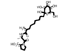 C[C@H](NC(=O)[C@@H](N)CCCCCCCC1(O)O[C@H](CO)[C@H](O)[C@H](O)[C@H]1O)C(=O)N1CCC[C@H]1C(=O)O